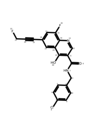 O=C(NCc1ccc(Cl)cc1)c1cnc2c(F)cc(C#CCF)cc2c1O